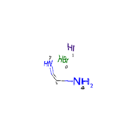 Br.I.N=CN